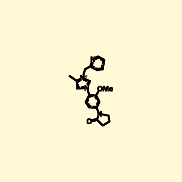 COc1cc(N2CCCC2=O)ccc1-n1cc(C)[n+](Cc2ccccn2)c1